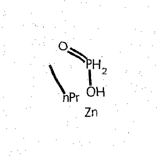 CCCC.O=[PH2]O.[Zn]